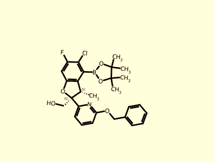 C[C@H]1c2c(cc(F)c(Cl)c2B2OC(C)(C)C(C)(C)O2)O[C@]1(CO)c1cccc(OCc2ccccc2)n1